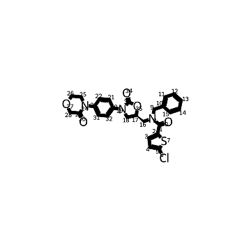 O=C(c1ccc(Cl)s1)N(Cc1ccccc1)C[C@H]1CN(c2ccc(N3CCOCC3=O)cc2)C(=O)O1